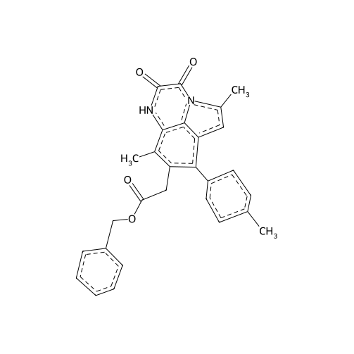 Cc1ccc(-c2c(CC(=O)OCc3ccccc3)c(C)c3[nH]c(=O)c(=O)n4c(C)cc2c34)cc1